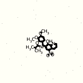 COc1ccc(C(NC(=O)C(C)C)c2cc([N+](=O)[O-])c3cccnc3c2O)cc1OC